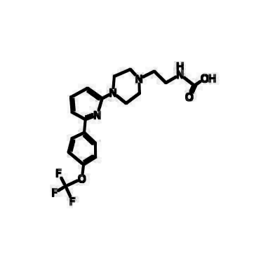 O=C(O)NCCN1CCN(c2cccc(-c3ccc(OC(F)(F)F)cc3)n2)CC1